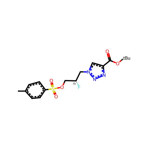 Cc1ccc(S(=O)(=O)OC[C@@H](F)Cn2cc(C(=O)OC(C)(C)C)nn2)cc1